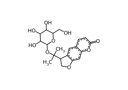 CC(C)(OC1OC(CO)C(O)C(O)C1O)C1COc2cc3oc(=O)ccc3cc21